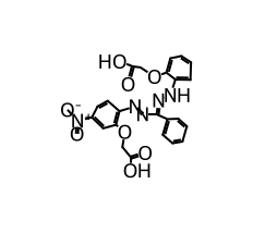 O=C(O)COc1cc([N+](=O)[O-])ccc1N=NC(=NNc1ccccc1OCC(=O)O)c1ccccc1